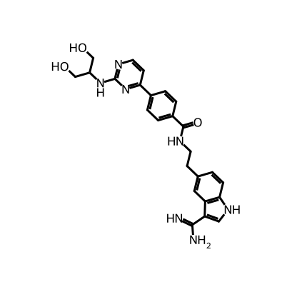 N=C(N)c1c[nH]c2ccc(CCNC(=O)c3ccc(-c4ccnc(NC(CO)CO)n4)cc3)cc12